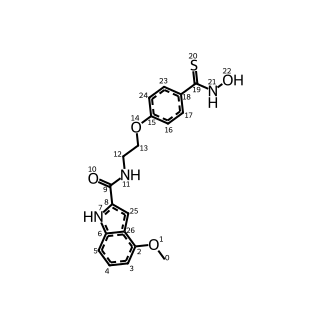 COc1cccc2[nH]c(C(=O)NCCOc3ccc(C(=S)NO)cc3)cc12